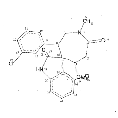 CO[C@H]1CC(=O)N(C)C[C@@H](c2cccc(Cl)c2)[C@]12C(=O)Nc1cccc(Cl)c12